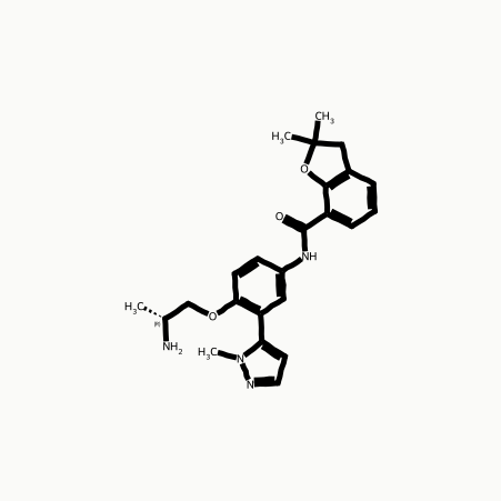 C[C@@H](N)COc1ccc(NC(=O)c2cccc3c2OC(C)(C)C3)cc1-c1ccnn1C